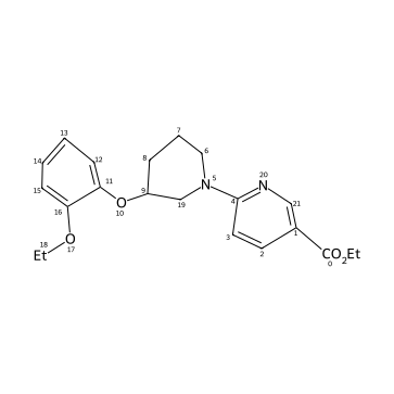 CCOC(=O)c1ccc(N2CCCC(Oc3ccccc3OCC)C2)nc1